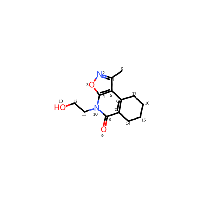 Cc1noc2c1c1c(c(=O)n2CCO)CCCC1